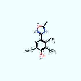 COc1cc(-c2noc(C)n2)c(C(F)(F)F)c([N+](=O)[O-])c1O